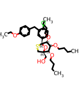 CCCCO[C@@H]1[C@@H](OCCCC)[C@]2(c3ccc(Cl)c(Cc4ccc(OCC)cc4)c3)O[C@@](CO)(CS2)[C@H]1OCCCC